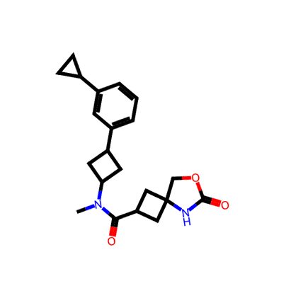 CN(C(=O)C1CC2(COC(=O)N2)C1)C1CC(c2cccc(C3CC3)c2)C1